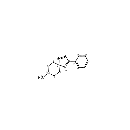 CN1CCC2(CC1)N=CC(c1ccccc1)=N2